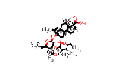 C=C1C[C@@]23CC[C@H]4[C@@](C)(CCC[C@@]4(C)C(=O)O)[C@@H]2CCC1(OC1OC(CC)C(C)C(C)C1OC1OC(CC)C(C)C(C)C1OC(C)=O)C3